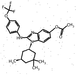 CC(=O)Oc1ccc2c(c1)nc(Nc1ccc(OC(F)(F)F)cc1)n2[C@@H]1C[C@H](C)CC(C)(C)C1